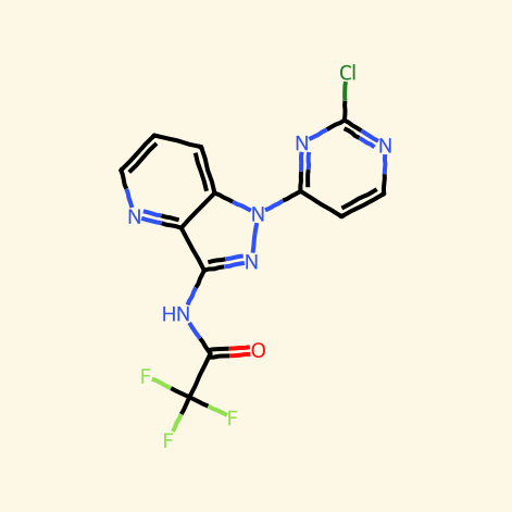 O=C(Nc1nn(-c2ccnc(Cl)n2)c2cccnc12)C(F)(F)F